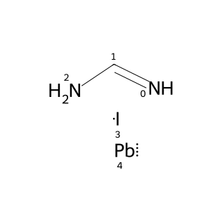 N=CN.[I].[Pb]